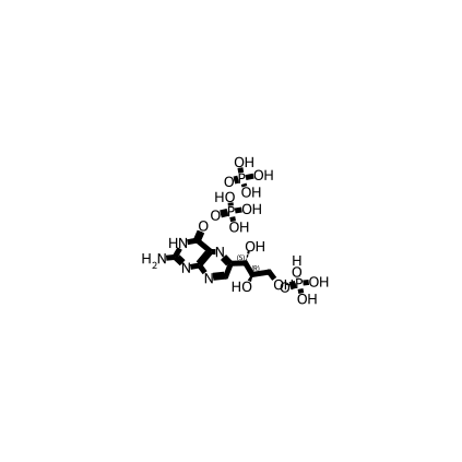 Nc1nc2ncc([C@H](O)[C@H](O)CO)nc2c(=O)[nH]1.O=P(O)(O)O.O=P(O)(O)O.O=P(O)(O)O